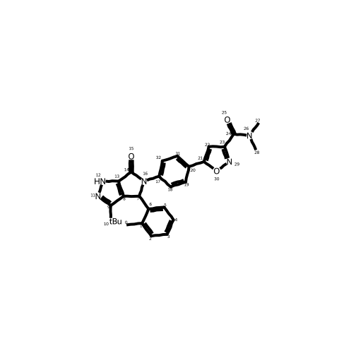 Cc1ccccc1C1c2c(C(C)(C)C)n[nH]c2C(=O)N1c1ccc(-c2cc(C(=O)N(C)C)no2)cc1